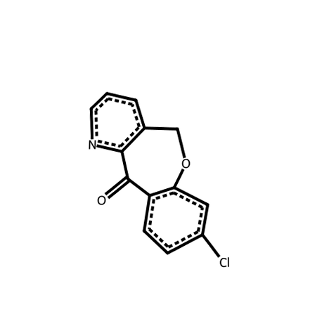 O=C1c2ccc(Cl)cc2OCc2cccnc21